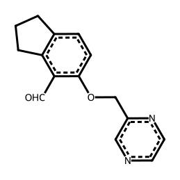 O=Cc1c(OCc2cnccn2)ccc2c1CCC2